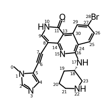 Cn1cncc1C#Cc1c[nH]c(=O)c2c1nc(N[C@H]1CCCNC1)c1ccc(Br)cc12